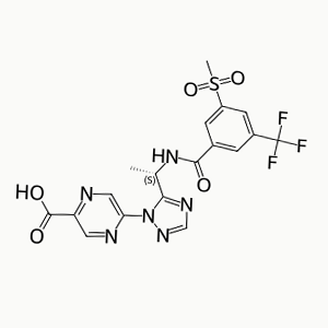 C[C@H](NC(=O)c1cc(C(F)(F)F)cc(S(C)(=O)=O)c1)c1ncnn1-c1cnc(C(=O)O)cn1